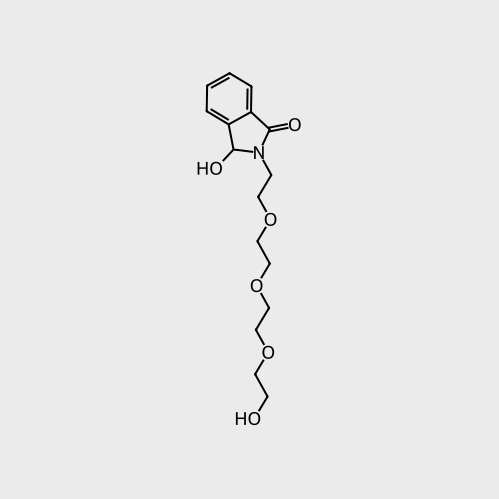 O=C1c2ccccc2C(O)N1CCOCCOCCOCCO